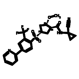 CO[C@H]1C[C@@H](S(=O)(=O)c2ccc(-c3ccccn3)cc2C(F)(F)F)C[C@@H]1C(=O)NC1(C#N)CC1